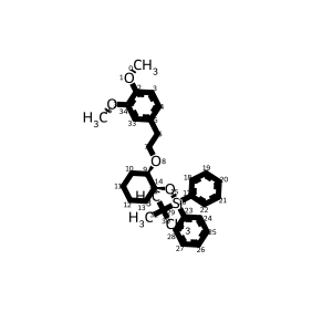 COc1ccc(CCO[C@@H]2CCCC[C@@H]2O[Si](c2ccccc2)(c2ccccc2)C(C)(C)C)cc1OC